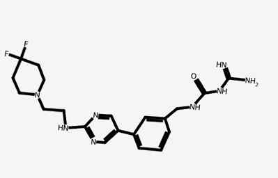 N=C(N)NC(=O)NCc1cccc(-c2cnc(NCCN3CCC(F)(F)CC3)nc2)c1